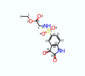 CCOC(=O)CNS(=O)(=O)c1ccc2c(c1)C(=O)C(=O)N2